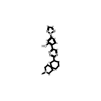 CN1CCC2(CCCC(c3ncc(-c4ccc(-n5nccn5)cc4O)nn3)C2)CC1